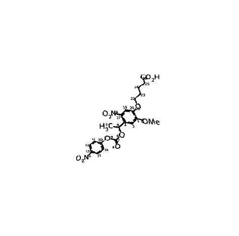 COc1cc(C(C)OC(=O)Oc2ccc([N+](=O)[O-])cc2)c([N+](=O)[O-])cc1OCCCCC(=O)O